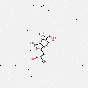 CCC1CC(CC(C)CO)C2CCC(C)(CO)CC12